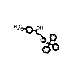 COc1ccc(C(O)CCc2cn(C(c3ccccc3)(c3ccccc3)c3ccccc3)cn2)cc1